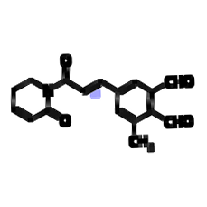 Cc1cc(/C=C/C(=O)N2CCC=CC2=O)cc(C=O)c1C=O